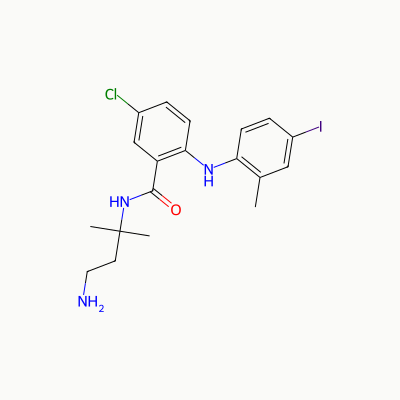 Cc1cc(I)ccc1Nc1ccc(Cl)cc1C(=O)NC(C)(C)CCN